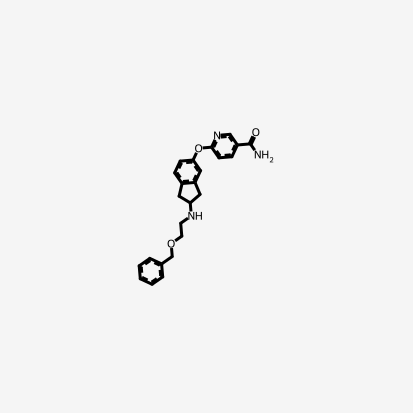 NC(=O)c1ccc(Oc2ccc3c(c2)CC(NCCOCc2ccccc2)C3)nc1